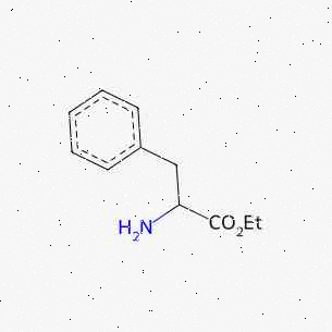 CCOC(=O)C(N)Cc1ccccc1